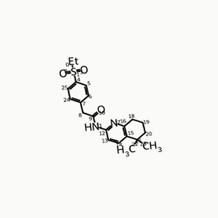 CCS(=O)(=O)c1ccc(CC(=O)Nc2ccc3c(n2)CCCC3(C)C)cc1